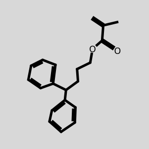 C=C(C)C(=O)OCCCC(c1ccccc1)c1ccccc1